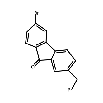 O=C1c2cc(CBr)ccc2-c2cc(Br)ccc21